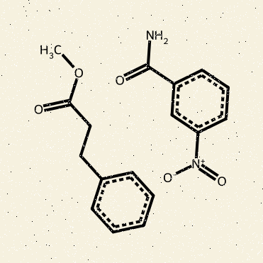 COC(=O)CCc1ccccc1.NC(=O)c1cccc([N+](=O)[O-])c1